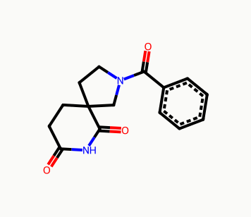 O=C1CCC2(CCN(C(=O)c3ccccc3)C2)C(=O)N1